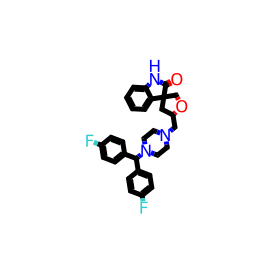 O=C1Nc2ccccc2C12COC(CN1CCN(C(c3ccc(F)cc3)c3ccc(F)cc3)CC1)C2